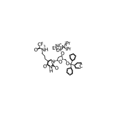 CCOP(O[C@H]1C[C@H](n2cc(CCCNC(=O)C(F)(F)F)c(=O)[nH]c2=O)O[C@@H]1COC(c1ccccc1)(c1ccccc1)c1ccccc1)[N+](C#N)(C(C)C)C(C)C